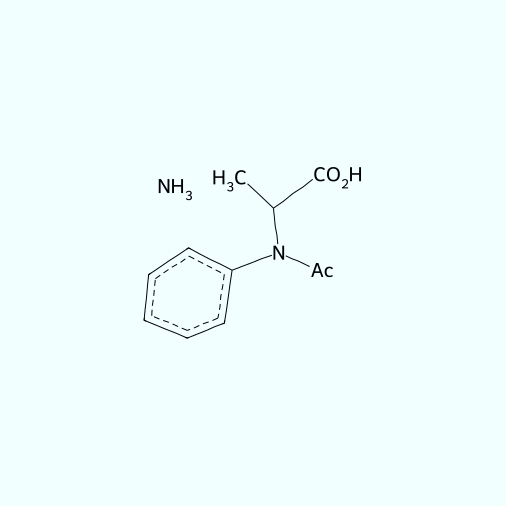 CC(=O)N(c1ccccc1)C(C)C(=O)O.N